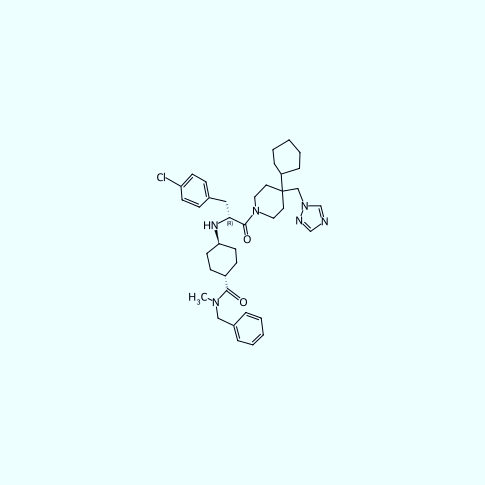 CN(Cc1ccccc1)C(=O)[C@H]1CC[C@H](N[C@H](Cc2ccc(Cl)cc2)C(=O)N2CCC(Cn3cncn3)(C3CCCCC3)CC2)CC1